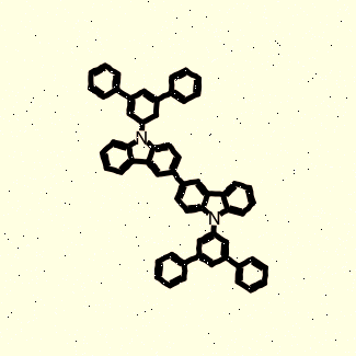 C1=C(c2ccccc2)C=C(c2ccccc2)CC1n1c2ccccc2c2cc(-c3ccc4c(c3)c3ccccc3n4-c3cc(-c4ccccc4)cc(-c4ccccc4)c3)ccc21